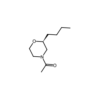 CCCC[C@H]1CN(C(C)=O)CCO1